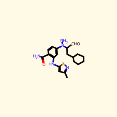 Cc1cc(Nc2cc(N(N)C(C=O)CC3CCCCC3)ccc2C(N)=O)sn1